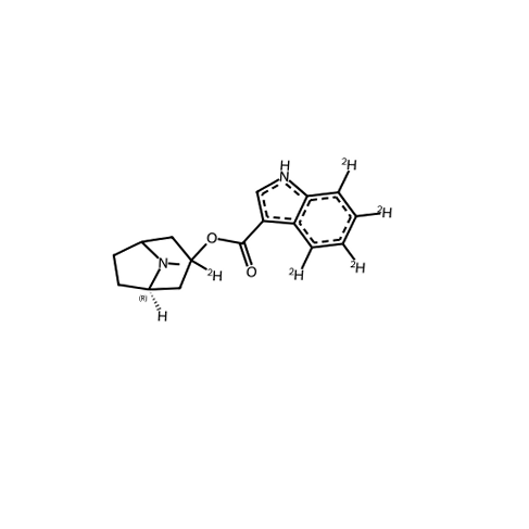 [2H]c1c([2H])c([2H])c2c(C(=O)OC3([2H])CC4CC[C@H](C3)N4C)c[nH]c2c1[2H]